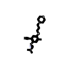 Cc1cc(/N=C/N(C)C)c(C#N)cc1OCCCN1CCOCC1